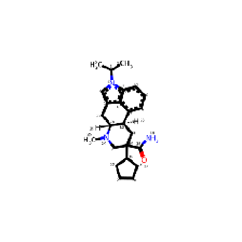 CC(C)n1cc2c3c(cccc31)[C@H]1CC(C(N)=O)(C3CCCC3)CN(C)[C@@H]1C2